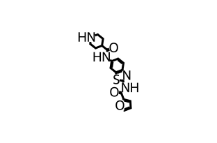 O=C(Nc1nc2ccc(NC(=O)C3CCNCC3)cc2s1)c1ccco1